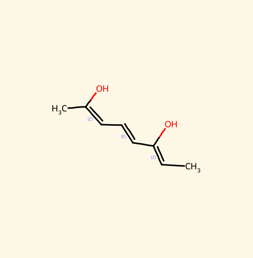 C/C=C(O)/C=C/C=C(/C)O